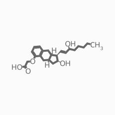 CCCCC[C@H](O)/C=C/[C@@H]1[C@H]2Cc3cccc(OCC(=O)O)c3C[C@H]2C[C@H]1O